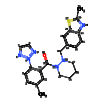 Cc1ccc(-n2nccn2)c(C(=O)N2CCCCN2Cc2ccc3nc(C)sc3c2)c1